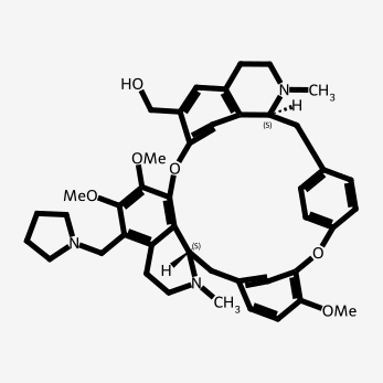 COc1ccc2cc1Oc1ccc(cc1)C[C@H]1c3cc(c(CO)cc3CCN1C)Oc1c(OC)c(OC)c(CN3CCCC3)c3c1[C@H](C2)N(C)CC3